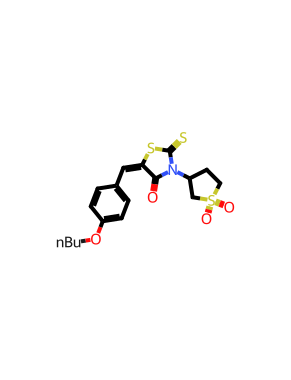 CCCCOc1ccc(C=C2SC(=S)N(C3CCS(=O)(=O)C3)C2=O)cc1